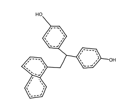 Oc1ccc(C(Cc2cccc3ccccc23)c2ccc(O)cc2)cc1